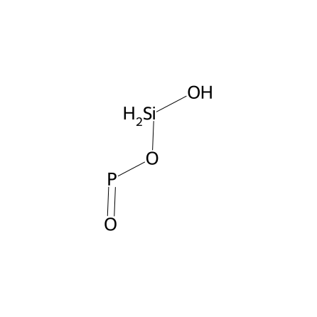 O=PO[SiH2]O